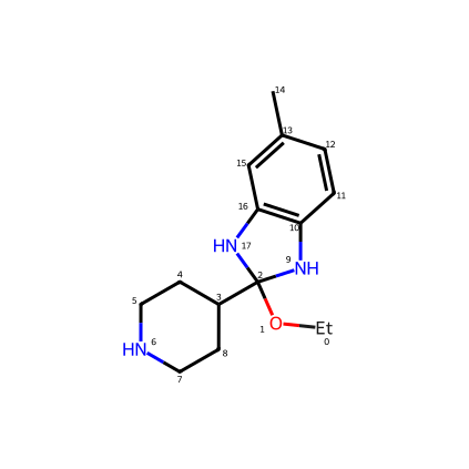 CCOC1(C2CCNCC2)Nc2ccc(C)cc2N1